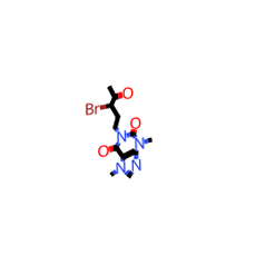 CC(=O)C(Br)CCn1c(=O)c2c(ncn2C)n(C)c1=O